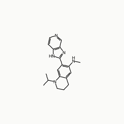 CNc1cc2c(cc1-c1nc3cnccc3[nH]1)N(C(C)C)CCC2